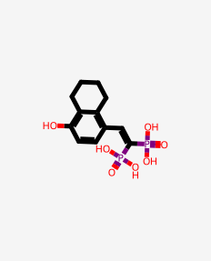 O=P(O)(O)C(=Cc1ccc(O)c2c1CCCC2)P(=O)(O)O